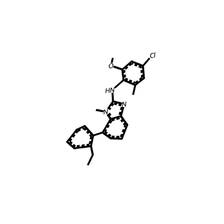 CCc1ccccc1-c1cccc2nc(Nc3c(C)cc(Cl)cc3OC)n(C)c12